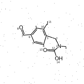 CN(Cc1ccc(C=O)cc1I)C(=O)O